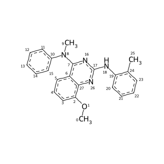 COc1cccc2c(N(C)c3ccccc3)nc(Nc3ccccc3C)nc12